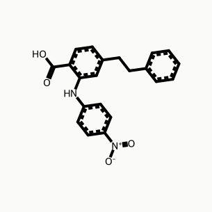 O=C(O)c1ccc(CCc2ccccc2)cc1Nc1ccc([N+](=O)[O-])cc1